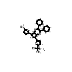 CCC(C)c1ccc(-c2sc(-c3ccc(C(C)(C)CC)s3)c3nc(-c4ccccc4)c(-c4ccccc4)nc23)s1